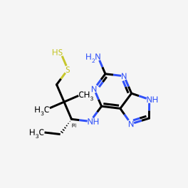 CC[C@@H](Nc1nc(N)nc2[nH]cnc12)C(C)(C)CSS